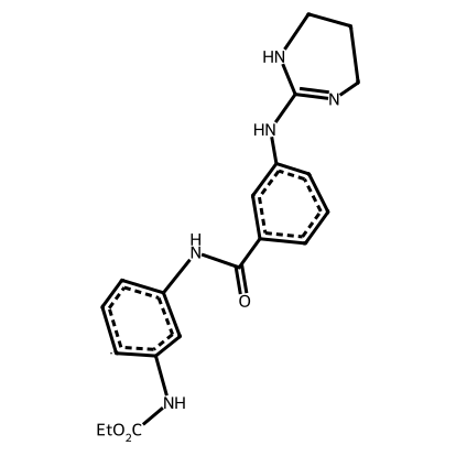 CCOC(=O)Nc1[c]ccc(NC(=O)c2cccc(NC3=NCCCN3)c2)c1